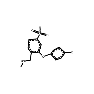 CNCc1ccc(S(C)(=O)=O)cc1Oc1ccc(Cl)cc1